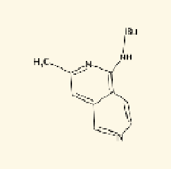 CCC(C)Nc1nc(C)cc2cnccc12